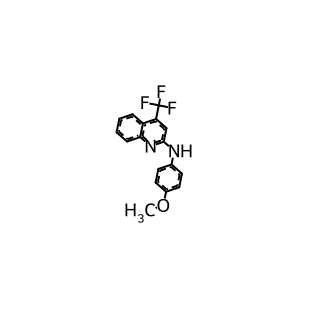 COc1ccc(Nc2cc(C(F)(F)F)c3ccccc3n2)cc1